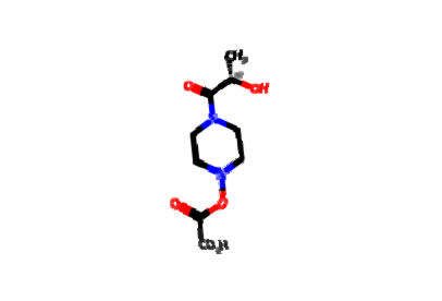 C[C@H](O)C(=O)N1CCN(OC(=O)C(=O)O)CC1